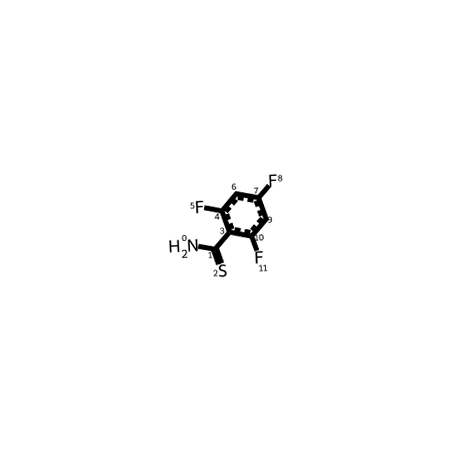 NC(=S)c1c(F)cc(F)cc1F